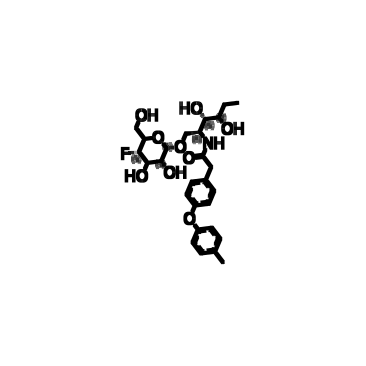 CC[C@@H](O)[C@@H](O)[C@H](CO[C@H]1OC(CO)[C@@H](F)C(O)[C@@H]1O)NC(=O)Cc1ccc(Oc2ccc(C)cc2)cc1